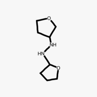 C1COC(NNC2CCOC2)C1